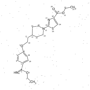 CCOC(=N)c1ccc(OCCC2CCN(c3nc(C(=O)OCC)cs3)CC2)cc1